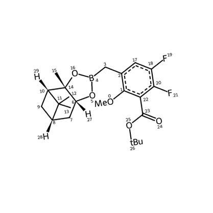 COc1c(CB2O[C@@H]3C[C@@H]4C[C@@H](C4(C)C)[C@]3(C)O2)cc(F)c(F)c1C(=O)OC(C)(C)C